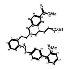 CCOC(=O)CCCCN(CCc1ccccc1OCc1ccc(-c2ccccc2OC)cc1)Cc1ccc(C(=O)OC)cc1